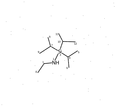 CCN[Si](C(C)C)(C(C)C)C(C)C